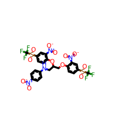 O=[N+]([O-])c1ccc(NCC(COc2ccc(S(=O)(=O)C(F)(F)F)cc2[N+](=O)[O-])Oc2ccc(S(=O)(=O)C(F)(F)F)cc2[N+](=O)[O-])cc1